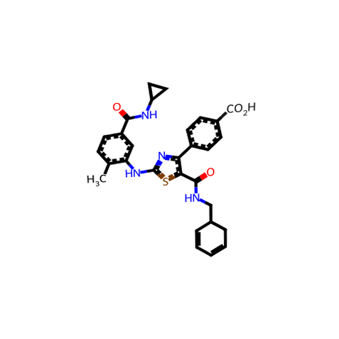 Cc1ccc(C(=O)NC2CC2)cc1Nc1nc(-c2ccc(C(=O)O)cc2)c(C(=O)NCC2C=CC=CC2)s1